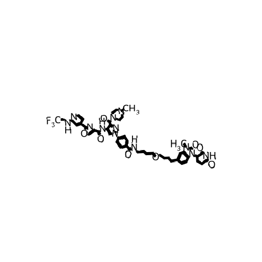 CN1CCN(C(=O)c2nn(-c3ccc(C(=O)NCCCCOCCCCc4ccc5c(c4)n(C)c(=O)n5C4CCC(=O)NC4=O)cc3)cc2NC(=O)c2coc(-c3ccnc(NCC(F)(F)F)c3)n2)CC1